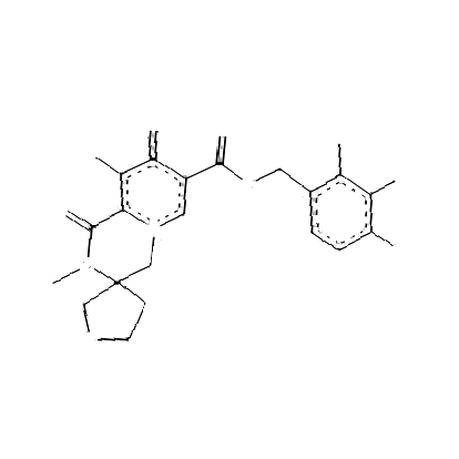 CN1C(=O)c2c(O)c(=O)c(C(=O)NCc3ccc(F)c(Cl)c3F)cn2CC12CCOC2